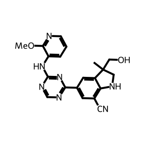 COc1ncccc1Nc1ncnc(-c2cc(C#N)c3c(c2)C(C)(CO)CN3)n1